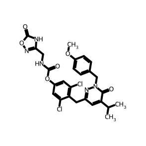 COc1ccc(Cn2nc(Cc3c(Cl)cc(OC(=O)NCc4noc(=O)[nH]4)cc3Cl)cc(C(C)C)c2=O)cc1